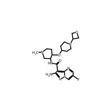 CN1CCC(OC2CCN(C3COC3)CC2)C(NC(=O)c2c(N)nn3cc(F)cnc23)C1